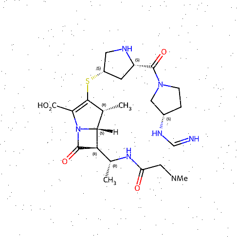 CNCC(=O)N[C@H](C)[C@H]1C(=O)N2C(C(=O)O)=C(S[C@@H]3CN[C@H](C(=O)N4CC[C@H](NC=N)C4)C3)[C@H](C)[C@H]12